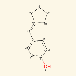 Oc1ccc(C=C2CCCC2)cc1